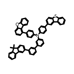 CC1(C)c2ccccc2-c2cc(-c3cccc(-c4cccc(N(c5ccc(-c6ccc7sc8ccccc8c7c6)cc5)c5ccc(-c6cccc7oc8ccccc8c67)cc5)c4)c3)ccc21